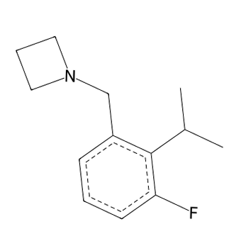 CC(C)c1c(F)cccc1CN1CCC1